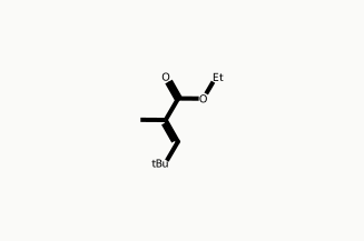 CCOC(=O)C(C)=CC(C)(C)C